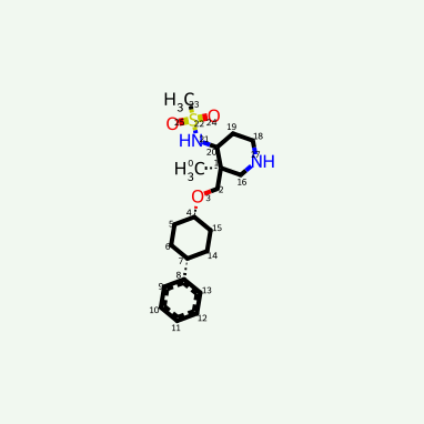 C[C@@]1(CO[C@H]2CC[C@@H](c3ccccc3)CC2)CNCCC1NS(C)(=O)=O